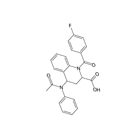 CC(=O)N(c1ccccc1)C1CC(C(=O)O)N(C(=O)c2ccc(F)cc2)c2ccccc21